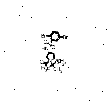 C[C@H]1C[C@@H](NS(=O)(=O)c2cc(Br)ccc2Br)C[N+]1(C(=O)[O-])C(C)(C)C